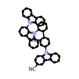 N#Cc1ccc2c(c1)c1ccccc1n2-c1ccc(-c2ccccc2-n2c3ccccc3c3cccc(-n4c5ccccc5c5ccccc54)c32)c(C#N)c1